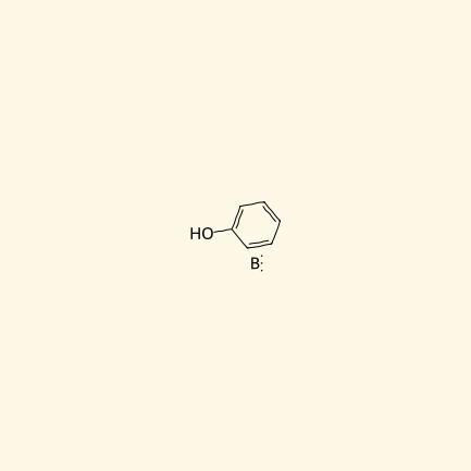 Oc1ccccc1.[B]